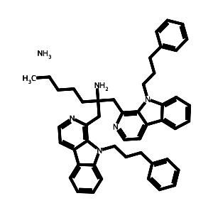 CCCCCC(N)(Cc1nccc2c3ccccc3n(CCCc3ccccc3)c12)Cc1nccc2c3ccccc3n(CCCc3ccccc3)c12.N